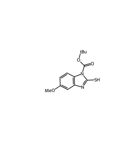 COc1ccc2c(c1)nc(S)n2C(=O)OC(C)(C)C